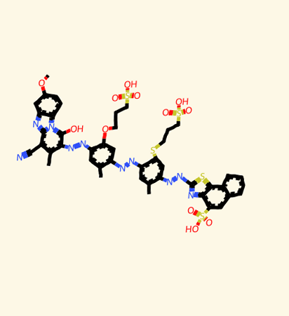 COc1ccc2c(c1)nc1c(C#N)c(C)c(N=Nc3cc(C)c(N=Nc4cc(C)c(N=Nc5nc6c(S(=O)(=O)O)cc7ccccc7c6s5)cc4SCCCS(=O)(=O)O)cc3OCCCS(=O)(=O)O)c(O)n12